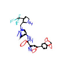 O=C(Nc1cnn(CC2CNCCC2C(F)(F)F)c1)c1cc(-c2ccc3c(c2)OCO3)on1